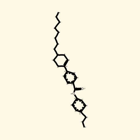 CCCCCCCCC1CC=C(c2ccc(C(=O)Oc3ccc(CCC)cc3)cc2)CC1